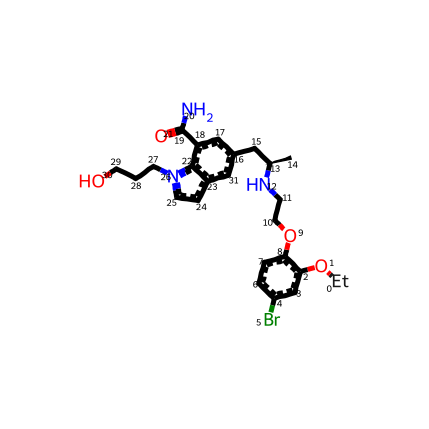 CCOc1cc(Br)ccc1OCCN[C@H](C)Cc1cc(C(N)=O)c2c(ccn2CCCO)c1